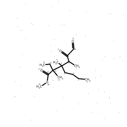 CCCCC(C)(C(C)C(=O)C=O)C(C)(CC)C(=O)OC